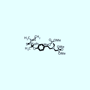 C=NN(C)[PH](=S)C(C)(CCC)Oc1ccc(CCN(CP(=O)(OC)OC)CP(=O)(OC)OC)cc1